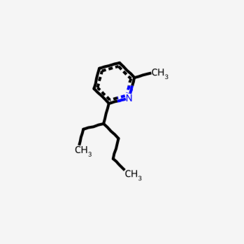 CCCC(CC)c1cccc(C)n1